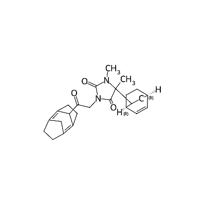 CN1C(=O)N(CC(=O)C2C3=C4CCC(=C2CC3)C4)C(=O)C1(C)C1C[C@@H]2C=C[C@H]1CC2